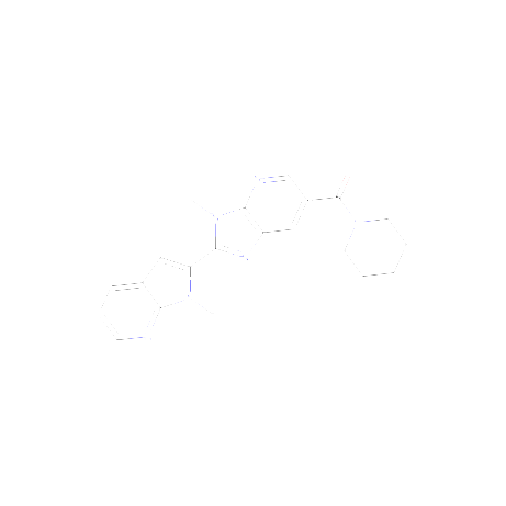 CCn1c(-c2nc3cc(C(=O)N4CCCC[C@H]4C)cnc3n2C)cc2cccnc21